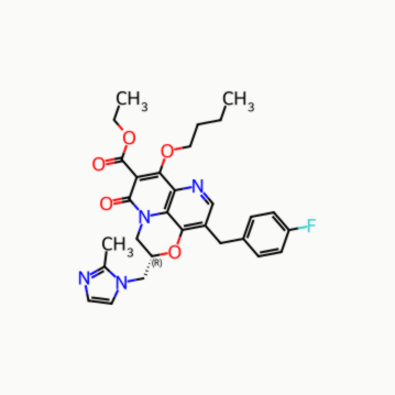 CCCCOc1c(C(=O)OCC)c(=O)n2c3c(c(Cc4ccc(F)cc4)cnc13)O[C@H](Cn1ccnc1C)C2